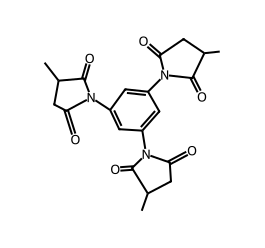 CC1CC(=O)N(c2cc(N3C(=O)CC(C)C3=O)cc(N3C(=O)CC(C)C3=O)c2)C1=O